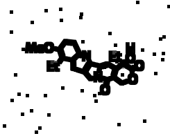 CCc1c(OC)ccc2nc3c(cc12)Cn1c-3cc2c(c1=O)COC(=O)[C@]2(O)CC